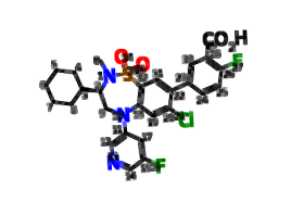 CN1[C@H](C2CCCCC2)CN(c2cncc(F)c2)c2cc(Cl)c(-c3ccc(F)c(C(=O)O)c3)cc2S1(=O)=O